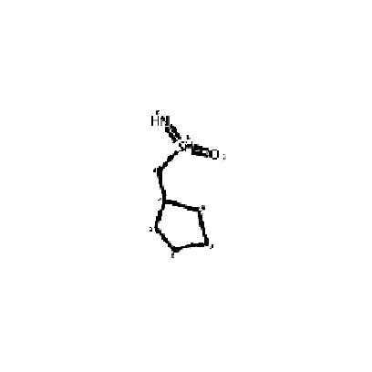 N=[SH](=O)CC1CCCC1